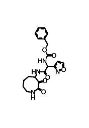 O=C(NC(C(=O)NC1CCCCNC(=O)C1=O)c1ccon1)OCc1ccccc1